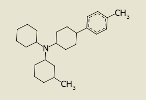 Cc1ccc(C2CCC(N(C3CCCCC3)C3CCCC(C)C3)CC2)cc1